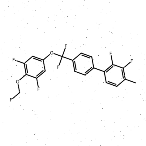 Cc1ccc(-c2ccc(C(F)(F)Oc3cc(F)c(OCF)c(F)c3)cc2)c(F)c1F